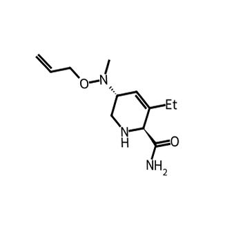 C=CCON(C)[C@@H]1C=C(CC)[C@@H](C(N)=O)NC1